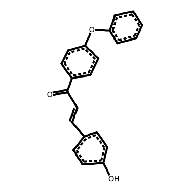 O=C(C=Cc1ccc(O)cc1)c1ccc(Oc2ccccc2)cc1